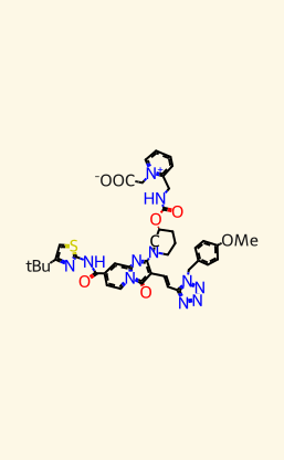 COc1ccc(Cn2nnnc2C=Cc2c(N3CCC[C@@H](OC(=O)NCc4cccc[n+]4CC(=O)[O-])C3)nc3cc(C(=O)Nc4nc(C(C)(C)C)cs4)ccn3c2=O)cc1